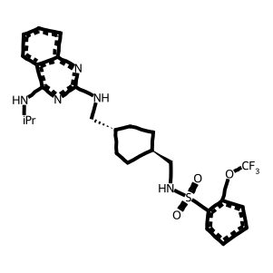 CC(C)Nc1nc(NC[C@H]2CC[C@H](CNS(=O)(=O)c3ccccc3OC(F)(F)F)CC2)nc2ccccc12